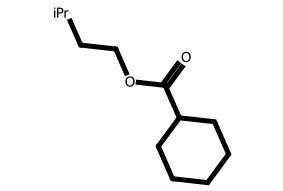 CC(C)CCOC(=O)C1CCCCC1